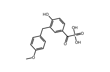 COc1ccc(Cc2cc(C(=O)P(=O)(O)O)ccc2O)cc1